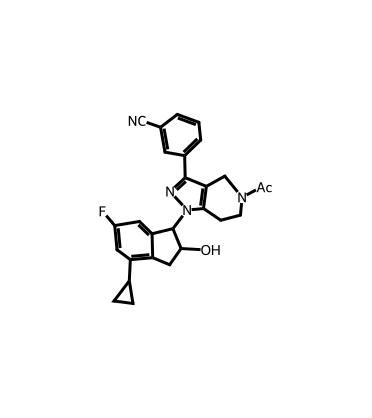 CC(=O)N1CCc2c(c(-c3cccc(C#N)c3)nn2C2c3cc(F)cc(C4CC4)c3CC2O)C1